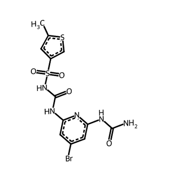 Cc1cc(S(=O)(=O)NC(=O)Nc2cc(Br)cc(NC(N)=O)n2)cs1